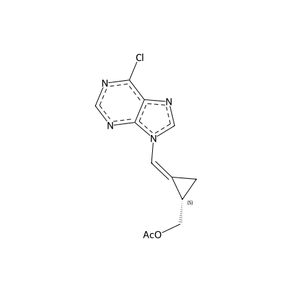 CC(=O)OC[C@H]1CC1=Cn1cnc2c(Cl)ncnc21